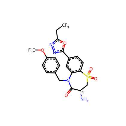 N[C@H]1CS(=O)(=O)c2ccc(-c3nnc(CC(F)(F)F)o3)cc2N(Cc2ccc(OC(F)(F)F)cc2)C1=O